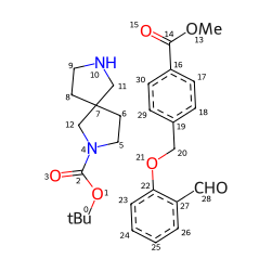 CC(C)(C)OC(=O)N1CCC2(CCNC2)C1.COC(=O)c1ccc(COc2ccccc2C=O)cc1